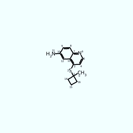 CC1(Sc2ccnc3ccc(N)cc23)CCC1